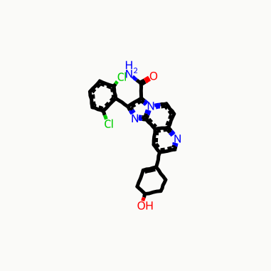 NC(=O)c1c(-c2c(Cl)cccc2Cl)nc2c3cc(C4=CCC(O)CC4)cnc3ccn12